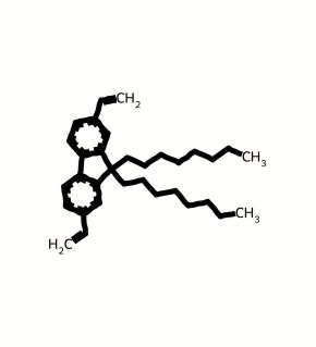 C=Cc1ccc2c(c1)C(CCCCCCCC)(CCCCCCCC)c1cc(C=C)ccc1-2